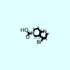 O=C(O)N1CCc2nccc(Br)c2C1